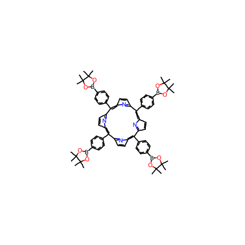 CC1(C)OB(c2ccc(C3=C4C=CC(=N4)C(c4ccc(B5OC(C)(C)C(C)(C)O5)cc4)=C4C=CC(=N4)C(c4ccc(B5OC(C)(C)C(C)(C)O5)cc4)=C4C=CC(=N4)C(c4ccc(B5OC(C)(C)C(C)(C)O5)cc4)=C4C=CC3=N4)cc2)OC1(C)C